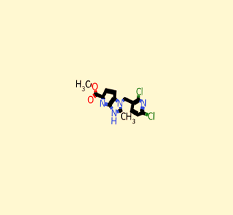 COC(=O)c1ccc2c(n1)NC(C)N2Cc1ccc(Cl)nc1Cl